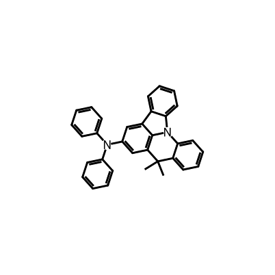 CC1(C)c2ccccc2-n2c3ccccc3c3cc(N(c4ccccc4)c4ccccc4)cc1c32